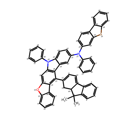 CC1(C)c2ccccc2C2=CC=C(c3c4c(cc5c3c3cc(N(c6ccccc6)c6ccc7c(c6)sc6ccccc67)ccc3n5-c3ccccc3)oc3ccccc34)CC21